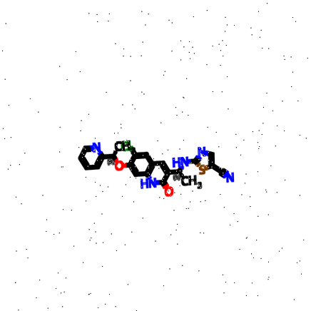 C[C@H](Nc1ncc(C#N)s1)c1cc2cc(Cl)c(O[C@H](C)c3ccccn3)cc2[nH]c1=O